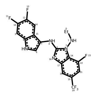 CCNn1c(Nc2c[nH]c3cc(F)c(F)cc23)nc2cc(C(F)(F)F)cc(F)c21